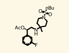 CCCCS(=O)(=O)N1CCC(C)(NC[C@H](OC(C)=O)c2cccc(F)c2)CC1